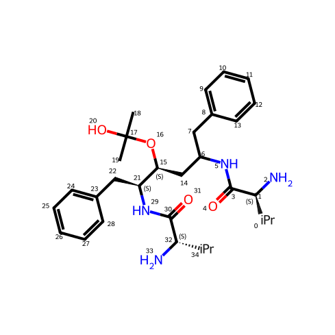 CC(C)[C@H](N)C(=O)NC(Cc1ccccc1)C[C@H](OC(C)(C)O)[C@H](Cc1ccccc1)NC(=O)[C@@H](N)C(C)C